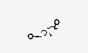 COc1ccc2ncc(F)c([C@@H](O)CC[C@@H]3CCN(CC#Cc4cc(F)ccc4F)C[C@@H]3CC(=O)O)c2c1